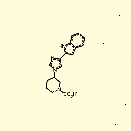 O=C(O)N1CCCC(n2cnc(-c3cc4ccccc4[nH]3)c2)C1